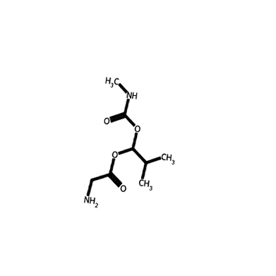 CNC(=O)OC(OC(=O)CN)C(C)C